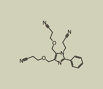 N#CCCOCc1nc(-c2ccccc2)n(CCC#N)c1COCCC#N